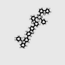 c1ccc(-c2nc(-c3cccc4c3oc3ccccc34)nc(-c3cccc4oc5c(-c6ccc7c(c6)oc6cc(-c8ccc9c%10ccccc%10n(-c%10ccccc%10)c9c8)ccc67)cccc5c34)n2)cc1